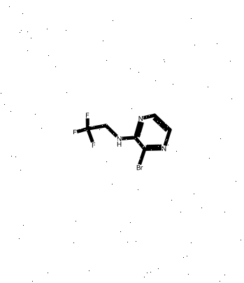 FC(F)(F)CNc1nccnc1Br